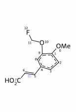 COc1ccc(/C=C/C(=O)O)cc1OCF